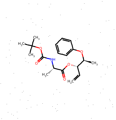 C=C[C@H](OC(=O)[C@H](C)NC(=O)OC(C)(C)C)[C@H](C)Oc1ccccc1